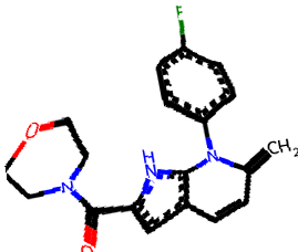 C=C1C=Cc2cc(C(=O)N3CCOCC3)[nH]c2N1c1ccc(F)cc1